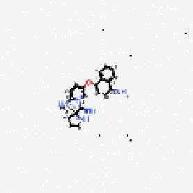 C[C@@]1(C(=N)n2cc(OC3CCC(N)c4ccccc43)ccc2=N)CCCN1